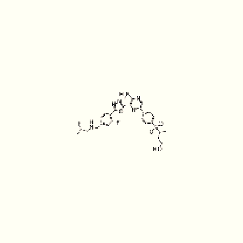 CC(F)CNCc1ccc(-c2nnc(-c3nc(-c4ccc(S(=O)(=O)C(C)CCO)cc4)cnc3N)o2)c(F)c1